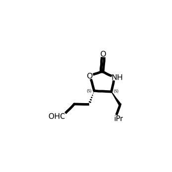 CC(C)C[C@@H]1NC(=O)O[C@H]1CCC=O